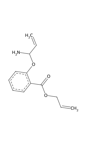 C=CCOC(=O)c1ccccc1OC(N)C=C